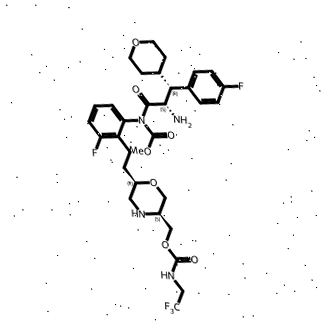 COC(=O)N(C(=O)[C@@H](N)[C@@H](c1ccc(F)cc1)C1CCOCC1)c1cccc(F)c1CC[C@@H]1CN[C@H](COC(=O)NCC(F)(F)F)CO1